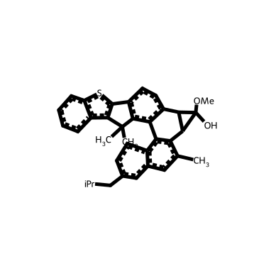 COC1(O)C2c3ccc4c(c3-c3c(c(C)cc5cc(CC(C)C)ccc35)C21)C(C)(C)c1c-4sc2ccccc12